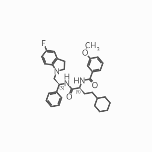 COc1cccc(C(=O)N[C@@H](CCC2CCCCC2)C(=O)N[C@H](CN2CCc3cc(F)ccc32)c2ccccc2)c1